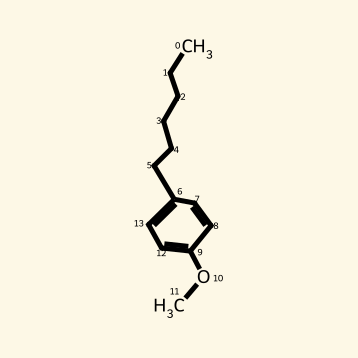 CC[CH]CCCc1ccc(OC)cc1